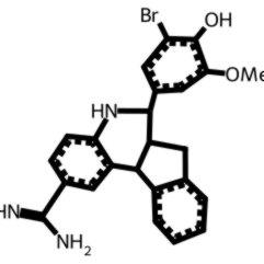 COc1cc(C2Nc3ccc(C(=N)N)cc3C3c4ccccc4CC23)cc(Br)c1O